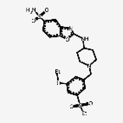 CCOc1cc(CN2CCC(Nc3nc4cc(S(N)(=O)=O)ccc4o3)CC2)cc(S(=O)(=O)CC)c1